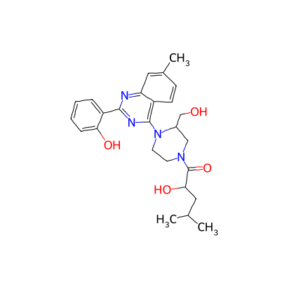 Cc1ccc2c(N3CCN(C(=O)C(O)CC(C)C)CC3CO)nc(-c3ccccc3O)nc2c1